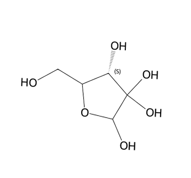 OCC1OC(O)C(O)(O)[C@H]1O